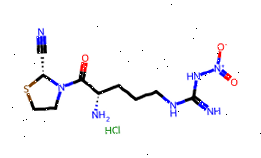 Cl.N#C[C@H]1SCCN1C(=O)[C@@H](N)CCCNC(=N)N[N+](=O)[O-]